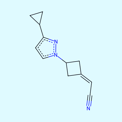 N#CC=C1CC(n2ccc(C3CC3)n2)C1